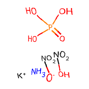 N.O=P(O)(O)O.O=[N+]([O-])O.O=[N+]([O-])[O-].[K+]